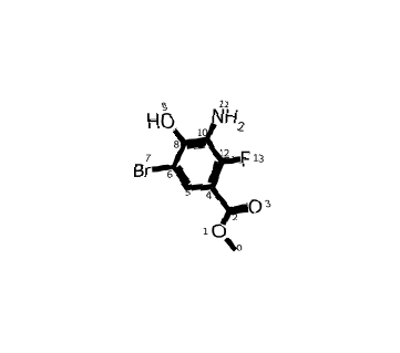 COC(=O)c1cc(Br)c(O)c(N)c1F